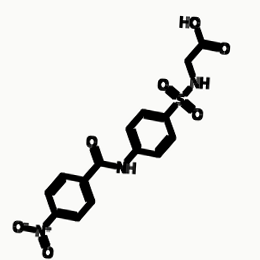 O=C(O)CNS(=O)(=O)c1ccc(NC(=O)c2ccc([N+](=O)[O-])cc2)cc1